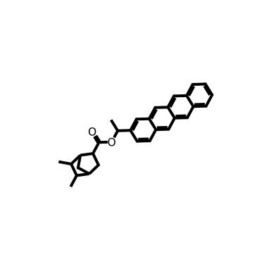 CC(OC(=O)C1CC2CC1C(C)C2C)c1ccc2cc3cc4ccccc4cc3cc2c1